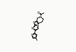 CC(=O)N1CCc2c(sc3nc(-c4cc(C)cs4)cn23)C1